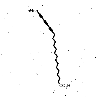 CCCCCCCCCC#CC#CC#CCCCCCCCCCCCCCCC(=O)O